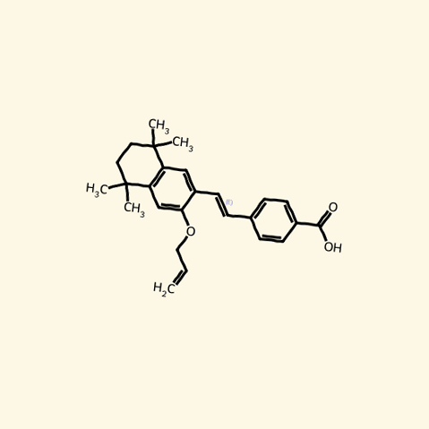 C=CCOc1cc2c(cc1/C=C/c1ccc(C(=O)O)cc1)C(C)(C)CCC2(C)C